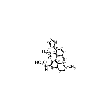 Cc1ccc2nc(NC(=O)O)c(O[C@@H](C)c3nc(Br)ccc3-n3cccn3)cc2n1